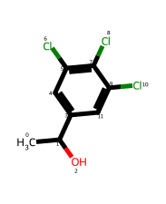 CC(O)c1cc(Cl)c(Cl)c(Cl)c1